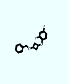 Fc1ccc(OC2CC(OCc3ccccc3)C2)c(F)c1